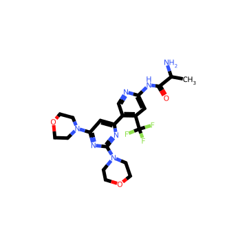 CC(N)C(=O)Nc1cc(C(F)(F)F)c(-c2cc(N3CCOCC3)nc(N3CCOCC3)n2)cn1